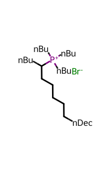 CCCCCCCCCCCCCCCC(CCCC)[P+](CCCC)(CCCC)CCCC.[Br-]